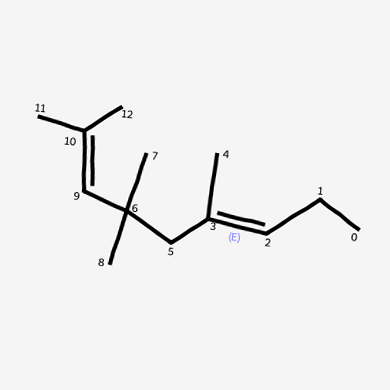 CC/C=C(\C)CC(C)(C)C=C(C)C